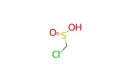 O=S(O)CCl